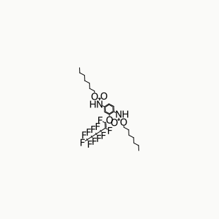 CCCCCCCOC(=O)Nc1ccc(NC(=O)OCCCCCCC)c(OC(F)=C(F)C(F)(F)C(F)(F)C(F)(F)C(F)(F)F)c1